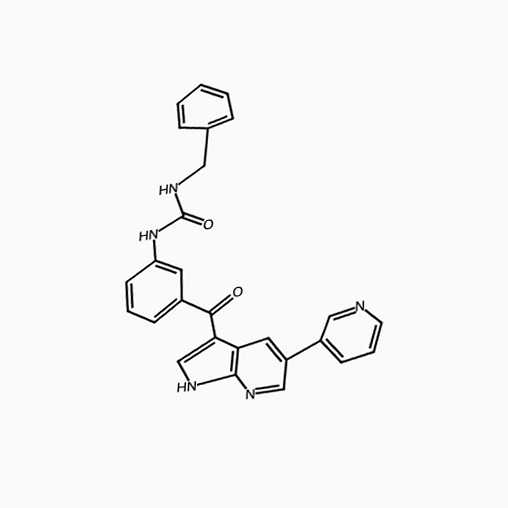 O=C(NCc1ccccc1)Nc1cccc(C(=O)c2c[nH]c3ncc(-c4cccnc4)cc23)c1